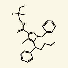 CCCCC(c1ccccc1)c1c(C)c(C(=O)NCC(F)(F)CC)nn1Cc1ccccc1